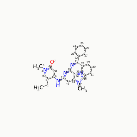 CCc1cn(C)c(=O)cc1Nc1cc2c(ncn2C)c(N=C(c2ccccc2)c2ccccc2)n1